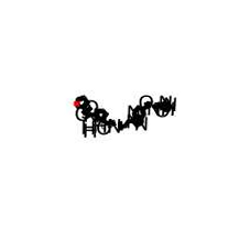 CC(C)(CCn1cnc2cc(C(=O)NCc3nnco3)cnc21)NC[C@H](O)c1cccc(NS(=O)(=O)c2ccccc2)c1